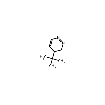 CC(C)(C)C1C=CN=NC1